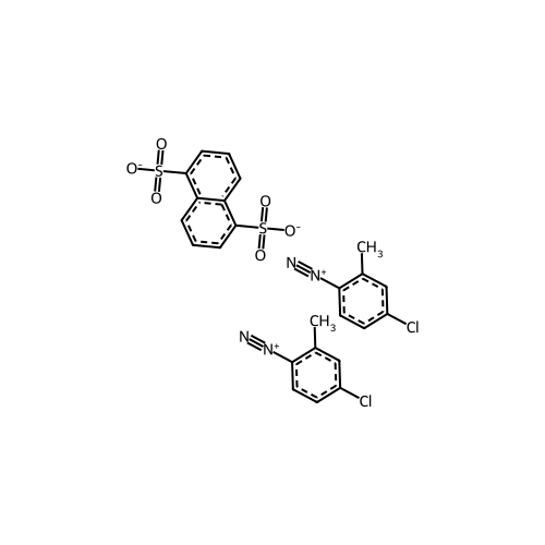 Cc1cc(Cl)ccc1[N+]#N.Cc1cc(Cl)ccc1[N+]#N.O=S(=O)([O-])c1cccc2c(S(=O)(=O)[O-])cccc12